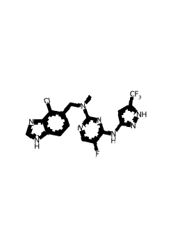 CN(Cc1ccc2[nH]cnc2c1Cl)c1ncc(F)c(Nc2cc(C(F)(F)F)[nH]n2)n1